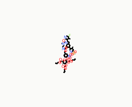 C=CCOC(=O)O[C@H]1[C@H](Oc2ccc(COC(=O)N(C)CCN(C)C(=O)n3c(-c4cncc(F)c4C)cc4cc(-c5cnc(S(C)(=O)=O)cc5C)ccc43)cc2[N+](=O)[O-])O[C@H](C(=O)OCC=C)[C@@H](C)[C@@H]1OC(=O)OCC=C